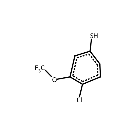 FC(F)(F)Oc1cc(S)ccc1Cl